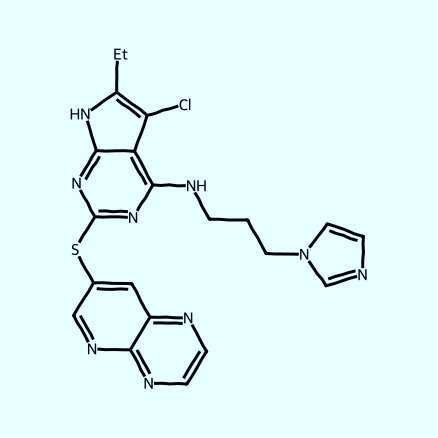 CCc1[nH]c2nc(Sc3cnc4nccnc4c3)nc(NCCCn3ccnc3)c2c1Cl